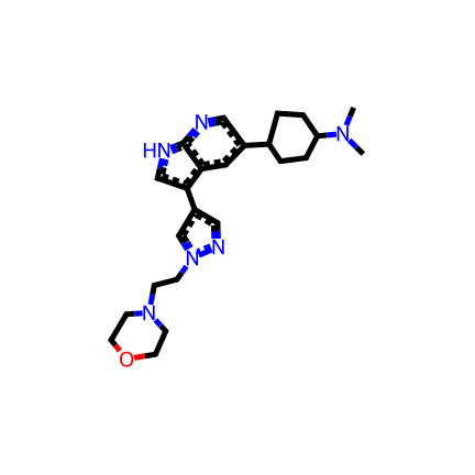 CN(C)C1CCC(c2cnc3[nH]cc(-c4cnn(CCN5CCOCC5)c4)c3c2)CC1